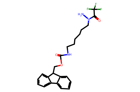 NN(CCCCCCNC(=O)OCC1c2ccccc2-c2ccccc21)C(=O)C(F)(F)F